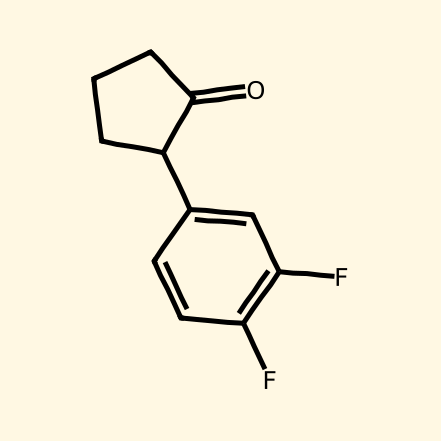 O=C1CCCC1c1ccc(F)c(F)c1